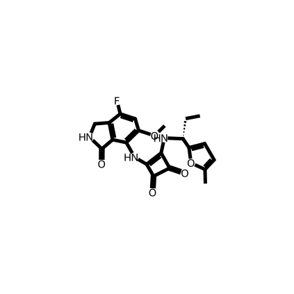 CC[C@@H](Nc1c(Nc2c(OC)cc(F)c3c2C(=O)NC3)c(=O)c1=O)c1ccc(C)o1